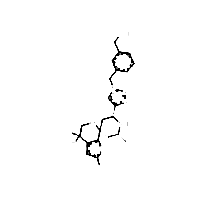 C[C@H]1C[C@@]2(C[C@@H](c3cn(Cc4cccc(CO)c4)nn3)N1)OCC(F)(F)c1cc(Cl)sc12